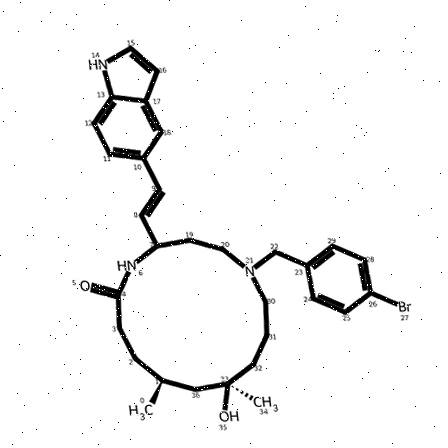 C[C@H]1CCC(=O)NC(/C=C/c2ccc3[nH]ccc3c2)CCN(Cc2ccc(Br)cc2)CCC[C@@](C)(O)C1